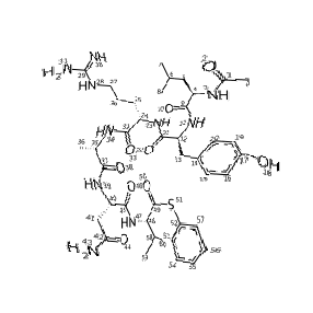 CC(=O)N[C@H](CC(C)C)C(=O)N[C@@H](Cc1ccc(O)cc1)C(=O)N[C@@H](CCCNC(=N)N)C(=O)N[C@@H](C)C(=O)N[C@@H](CC(N)=O)C(=O)N[C@H](C(=O)Sc1ccccc1)C(C)C